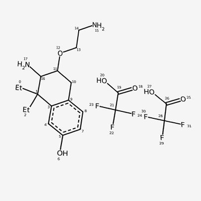 CCC1(CC)c2cc(O)ccc2CC(OCCN)C1N.O=C(O)C(F)(F)F.O=C(O)C(F)(F)F